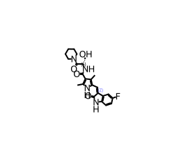 Cc1[nH]c(/C=C2\C(=O)Nc3ccc(F)cc32)c(C)c1C(=O)N[C@@H](CO)C(=O)N1CCCCC1